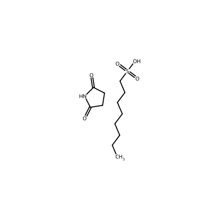 CCCCCCCCS(=O)(=O)O.O=C1CCC(=O)N1